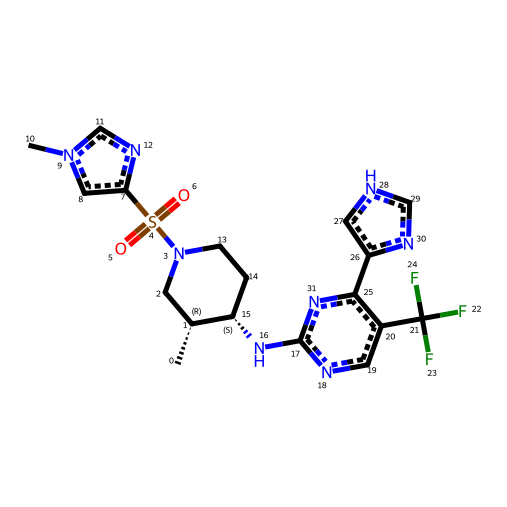 C[C@@H]1CN(S(=O)(=O)c2cn(C)cn2)CC[C@@H]1Nc1ncc(C(F)(F)F)c(-c2c[nH]cn2)n1